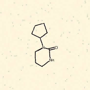 O=C1NCCCN1C1CCCC1